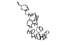 CNC(=O)[C@H]1O[C@@H](n2cnc3c(NCc4cccc(I)c4)ccnc32)[C@@H](O)C1O